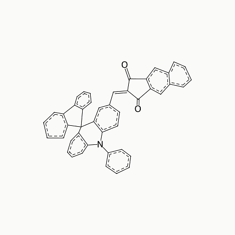 O=C1C(=Cc2ccc3c(c2)C2(c4ccccc4-c4ccccc42)c2ccccc2N3c2ccccc2)C(=O)c2cc3ccccc3cc21